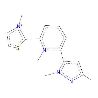 Cc1cc(-c2cccc(-c3scc[n+]3C)[n+]2C)n(C)n1